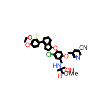 COC(=O)C(C)(CO)NCc1cc(Cl)c(O[C@H]2CCc3c(-c4ccc5c(c4F)OCCO5)cccc32)cc1OCc1cncc(C#N)c1